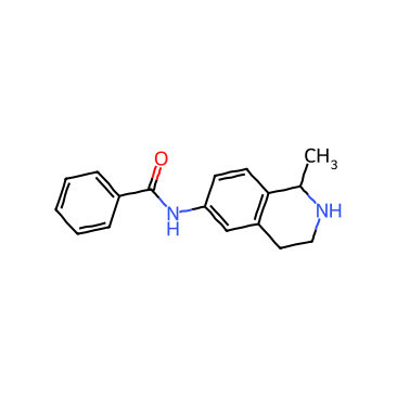 CC1NCCc2cc(NC(=O)c3ccccc3)ccc21